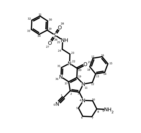 N#Cc1c(N2CCCC(N)C2)n(Cc2ccccc2)c2c(=O)n(CCNS(=O)(=O)c3ccccc3)cnc12